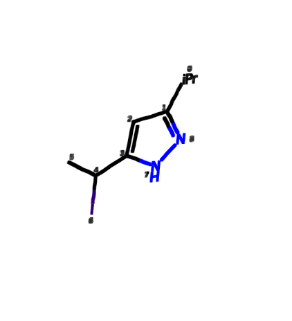 CC(C)c1cc(C(C)I)[nH]n1